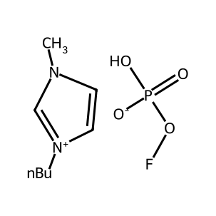 CCCC[n+]1ccn(C)c1.O=P([O-])(O)OF